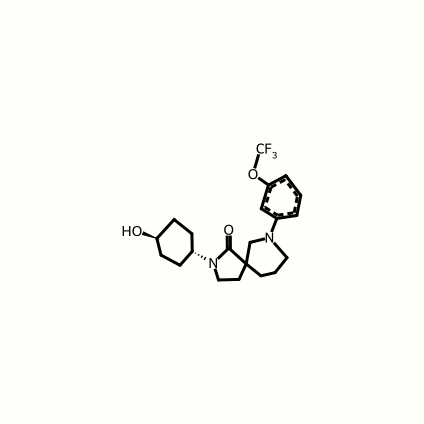 O=C1N([C@H]2CC[C@H](O)CC2)CCC12CCCN(c1cccc(OC(F)(F)F)c1)C2